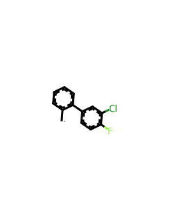 [CH2]c1ccccc1-c1ccc(F)c(Cl)c1